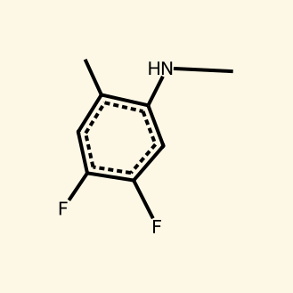 CNc1cc(F)c(F)cc1C